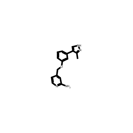 Cc1n[nH]cc1-c1c[c]cc(OCc2ccnc(N)c2)c1